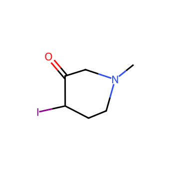 CN1CCC(I)C(=O)C1